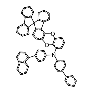 c1ccc(-c2ccc(N(c3ccc(-c4cccc5ccccc45)cc3)c3cccc4c3Oc3ccc5c(c3O4)-c3ccccc3C53c4ccccc4-c4ccccc43)cc2)cc1